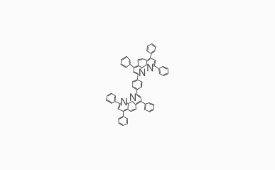 c1ccc(-c2cc(-c3ccccc3)c3ccc4c(-c5ccccc5)cc(-c5ccc(-c6cc(-c7ccccc7)c7ccc8c(-c9ccccc9)cc(-c9ccccc9)nc8c7n6)cc5)nc4c3n2)cc1